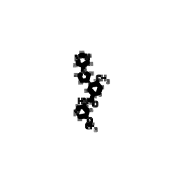 Cc1ccc(C(=O)Nc2cncc(OC(F)(F)F)c2)cc1[C@@H]1CCN(c2cncnc2)C1